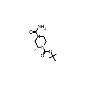 C[C@@H]1CN(C(N)=O)CCN1C(=O)OC(C)(C)C